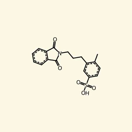 Cc1ccc(S(=O)(=O)O)cc1CCCN1C(=O)c2ccccc2C1=O